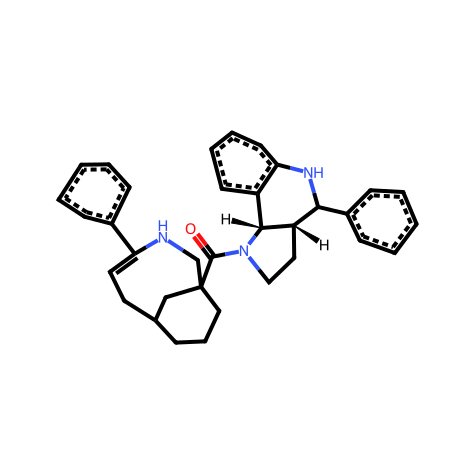 O=C(N1CC[C@H]2C(c3ccccc3)Nc3ccccc3[C@H]21)C12CCCC(CC=C(c3ccccc3)NC1)C2